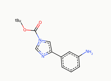 CC(C)(C)OC(=O)n1cnc(-c2cccc(N)c2)c1